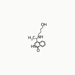 CC(NCCCCO)c1c[nH]c(=O)c2ccccc12